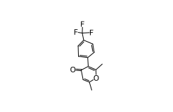 Cc1cc(=O)c(-c2ccc(C(F)(F)F)cc2)c(C)o1